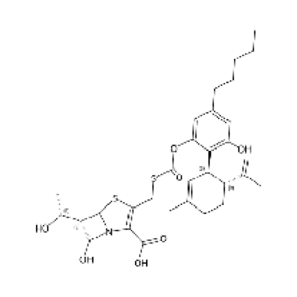 C=C(C)[C@@H]1CCC(C)=C[C@H]1c1c(O)cc(CCCCC)cc1OC(=O)SCC1=C(C(=O)O)N2C(O)[C@H]([C@@H](C)O)C2S1